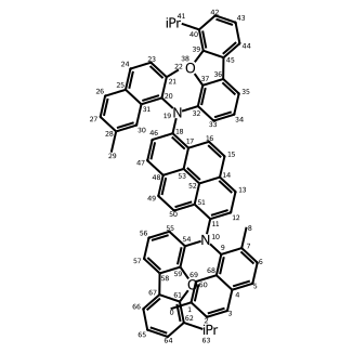 Cc1ccc2ccc(C)c(N(c3ccc4ccc5c(N(c6c(C)ccc7ccc(C)cc67)c6cccc7c6oc6c(C(C)C)cccc67)ccc6ccc3c4c65)c3cccc4c3oc3c(C(C)C)cccc34)c2c1